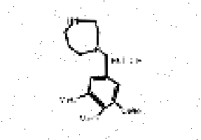 COc1cc(CN2CCCNCC2)cc(OC)c1OC.Cl.Cl